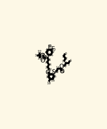 CCCC[C@@H](CC)COC(=O)CCSc1ccc(C)cc1OCCCCCN(C(=O)OC(C)(C)C)C1CCC(F)(F)CC1